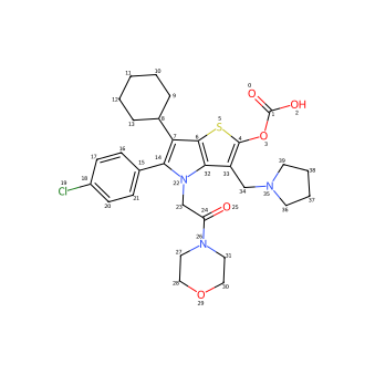 O=C(O)Oc1sc2c(C3CCCCC3)c(-c3ccc(Cl)cc3)n(CC(=O)N3CCOCC3)c2c1CN1CCCC1